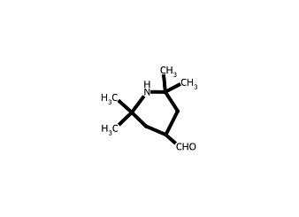 CC1(C)CC(C=O)CC(C)(C)N1